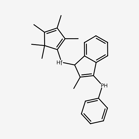 CC1=C(C)C(C)(C)[C]([Hf][CH]2C(C)=C(Pc3ccccc3)c3ccccc32)=C1C